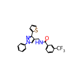 O=C(NCc1cn(-c2ccccc2)nc1-c1cccs1)c1cccc(C(F)(F)F)c1